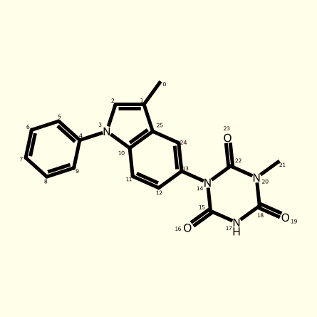 Cc1cn(-c2ccccc2)c2ccc(-n3c(=O)[nH]c(=O)n(C)c3=O)cc12